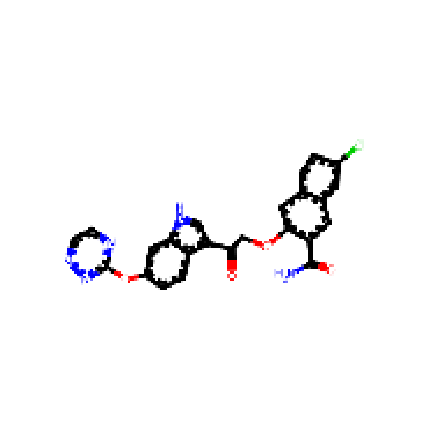 NC(=O)c1cc2cc(Cl)ccc2cc1OCC(=O)c1c[nH]c2cc(Oc3nccnn3)ccc12